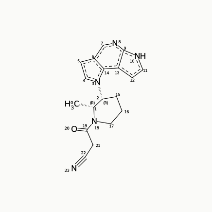 C[C@@H]1[C@H](n2ccc3cnc4[nH]ccc4c32)CCCN1C(=O)CC#N